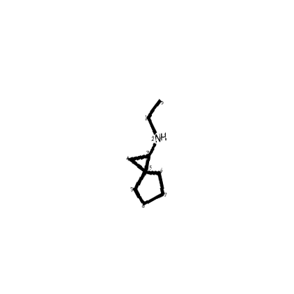 CCNC1CC12CCCC2